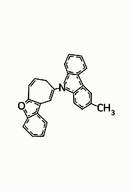 Cc1ccc2c(c1)c1ccccc1n2C1=Cc2c(oc3ccccc23)C=CC1